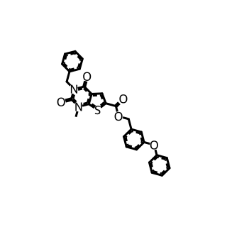 Cn1c(=O)n(Cc2ccccc2)c(=O)c2cc(C(=O)OCc3cccc(Oc4ccccc4)c3)sc21